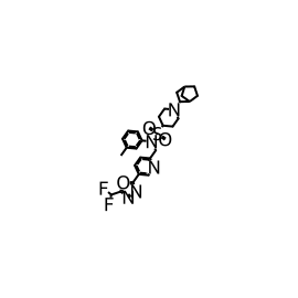 Cc1cccc(N(Cc2ccc(-c3nnc(C(F)F)o3)cn2)S(=O)(=O)C2CCN(C3CC4CCC3C4)CC2)c1